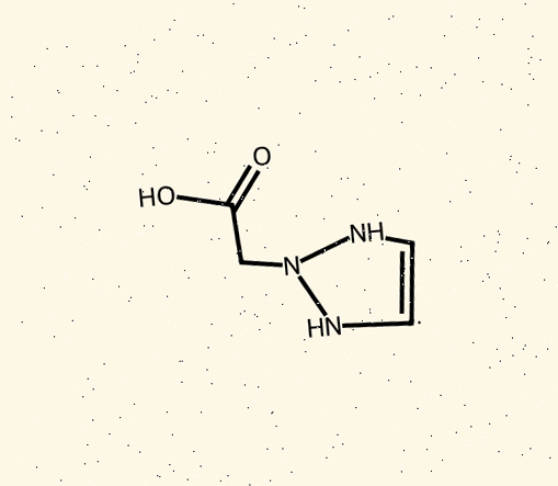 O=C(O)CN1N[C]=CN1